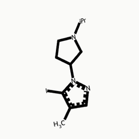 Cc1cnn(C2CCN(C(C)C)C2)c1I